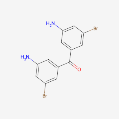 Nc1cc(Br)cc(C(=O)c2cc(N)cc(Br)c2)c1